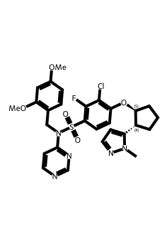 COc1ccc(CN(c2ccncn2)S(=O)(=O)c2ccc(O[C@H]3CCC[C@@H]3c3ccnn3C)c(Cl)c2F)c(OC)c1